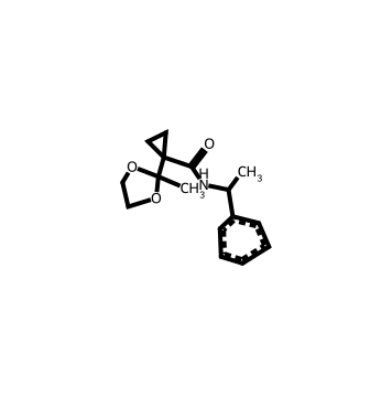 CC(NC(=O)C1(C2(C)OCCO2)CC1)c1ccccc1